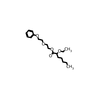 CCCCCC(OCC)C(=O)OCCOCCOc1ccccc1